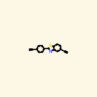 C#Cc1ccc(-c2nc3cc(C#C)ccc3s2)cc1